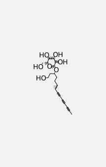 CC#CC#CC#C/C=C/CCC(CCO)O[C@@H]1O[C@H](CO)[C@@H](O)[C@H](O)[C@H]1O